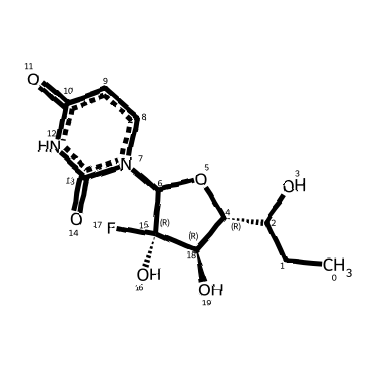 CCC(O)[C@H]1OC(n2ccc(=O)[nH]c2=O)[C@](O)(F)[C@@H]1O